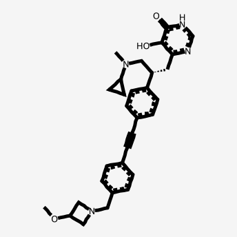 COC1CN(Cc2ccc(C#Cc3ccc([C@@H](Cc4nc[nH]c(=O)c4O)CN(C)C4CC4)cc3)cc2)C1